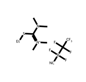 CCSC(N(C)C)=[N+](C)C.N#C[B-](F)(F)C(F)(F)C(F)(F)F